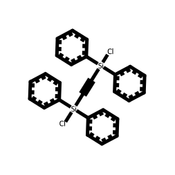 Cl[Si](C#C[Si](Cl)(c1ccccc1)c1ccccc1)(c1ccccc1)c1ccccc1